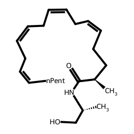 CCCCC/C=C\C/C=C\C/C=C\C/C=C\CC[C@@H](C)C(=O)N[C@H](C)CO